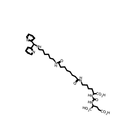 O=C(O)CCC(NC(=O)NC(CCCCNC(=O)CCCCCCC(=O)NCCCCCCNC(c1ccccn1)c1ccccn1)C(=O)O)C(=O)O